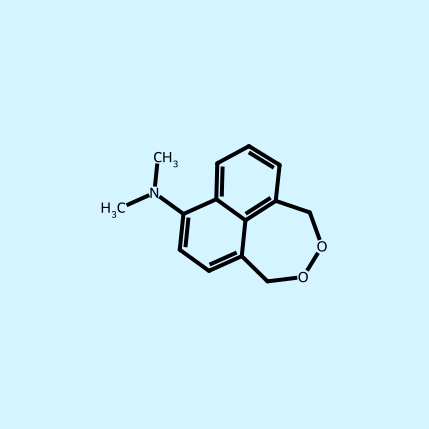 CN(C)c1ccc2c3c(cccc13)COOC2